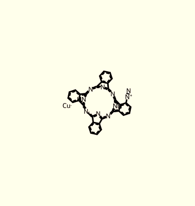 N#[N+]c1cccc2c3nc4nc(nc5[nH]c(nc6nc(nc([nH]3)c12)-c1ccccc1-6)c1ccccc51)-c1ccccc1-4.[Cu]